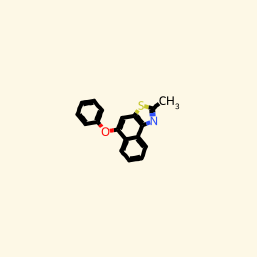 Cc1nc2c(cc(Oc3ccccc3)c3ccccc32)s1